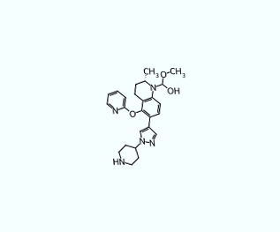 COC(O)N1c2ccc(-c3cnn(C4CCNCC4)c3)c(Oc3ccccn3)c2CC[C@@H]1C